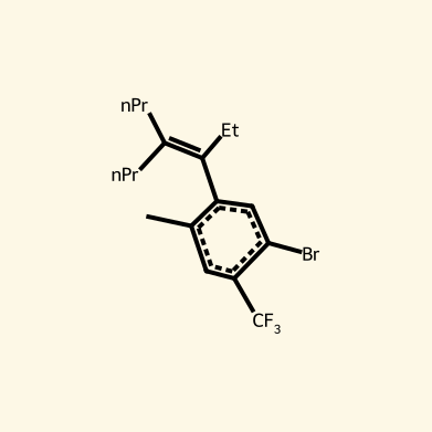 CCCC(CCC)=C(CC)c1cc(Br)c(C(F)(F)F)cc1C